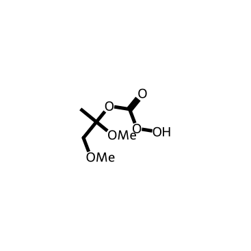 COCC(C)(OC)OC(=O)OO